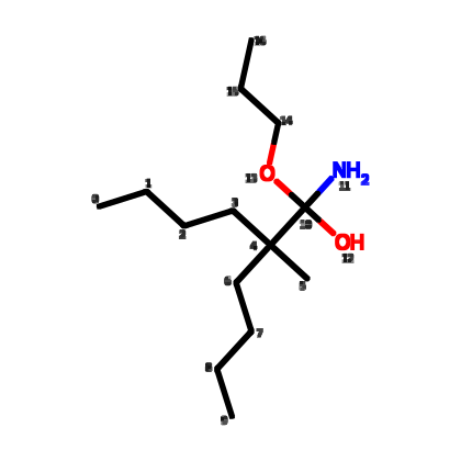 CCCCC(C)(CCCC)C(N)(O)OCCC